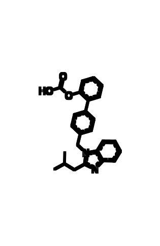 CC(C)Cc1nc2ccccc2n1Cc1ccc(-c2ccccc2OC(=O)O)cc1